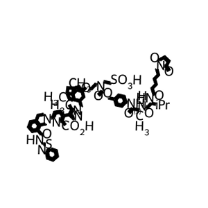 Cc1c(-c2ccc(N3CCc4cccc(C(=O)Nc5nc6ccccc6s5)c4C3)nc2C(=O)O)cnn1CC12CC3(OCCN(CCS(=O)(=O)O)C(=O)OCc4ccc(NC(=O)[C@H](C)NC(=O)C(NC(=O)CCCCCN5C(=O)C=CC5=O)C(C)C)cc4)CC4(C)CC(C)(C1)C4(C2)C3